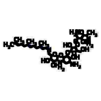 CC(C)=CCC/C(C)=C/CC/C(C)=C/C=N\CC1OC(OC2C(N)CC(N)C(O)C2OC2OC(CO)C(OOC(CN)C(O)C(O)C(C)N)C2O)CC(O)C1O